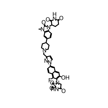 Cn1c(=O)n(C2CCC(=O)NC2=O)c2ccc(C3CCN(Cc4ccn(-c5ccc6c(F)c(N7CC(=O)NS7(=O)=O)c(O)cc6c5)n4)CC3)cc21